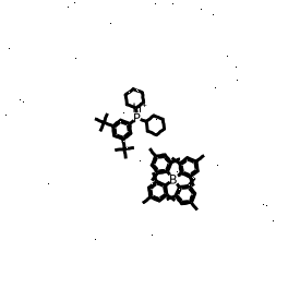 CC(C)(C)c1cc([PH+](C2CCCCC2)C2CCCCC2)cc(C(C)(C)C)c1.Cc1cc(C)c([B-](c2c(C)cc(C)cc2C)(c2c(C)cc(C)cc2C)c2c(C)cc(C)cc2C)c(C)c1